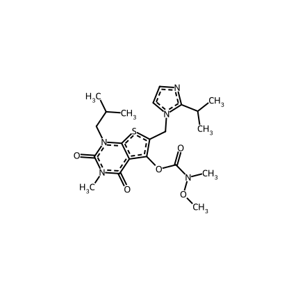 CON(C)C(=O)Oc1c(Cn2ccnc2C(C)C)sc2c1c(=O)n(C)c(=O)n2CC(C)C